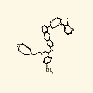 Cc1ccc(C(COCCN2CCOCC2)Nc2ccc3c(c2)Sc2cccc(C4CN(c5ccc[nH]c5=O)CCO4)c2S3)nc1